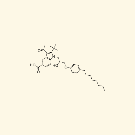 CCCCCCCCc1ccc(OCC(O)Cn2c(C(C)(C)C)c(C(C)=O)c3cc(C(=O)O)ccc32)cc1